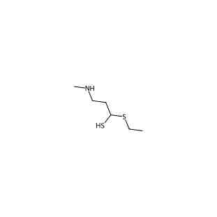 CCSC(S)CCNC